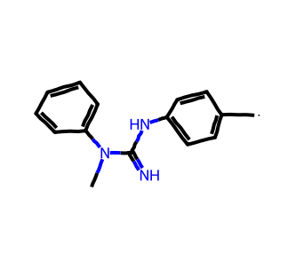 [CH2]c1ccc(NC(=N)N(C)c2ccccc2)cc1